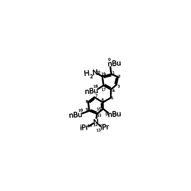 CCCCc1ccc(Cc2ccc(CCCC)c(N(C(C)C)C(C)C)c2CCCC)c(CCCC)c1N